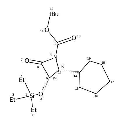 CC[Si](CC)(CC)O[C@@H]1C(=O)N(C(=O)OC(C)(C)C)[C@@H]1C1CCCCC1